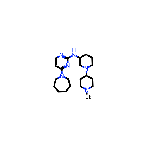 CCN1CCC(N2CCCC(Nc3nccc(N4CCCCCC4)n3)C2)CC1